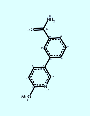 COc1ccc(-c2cccc(C(N)=O)c2)cn1